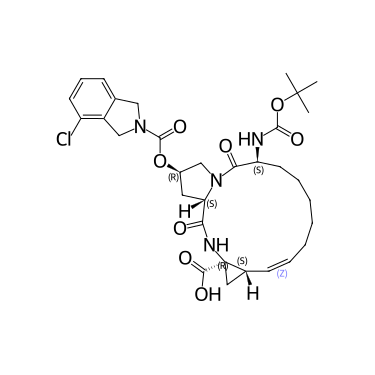 CC(C)(C)OC(=O)N[C@H]1CCCCC/C=C\[C@@H]2C[C@@]2(C(=O)O)NC(=O)[C@@H]2C[C@@H](OC(=O)N3Cc4cccc(Cl)c4C3)CN2C1=O